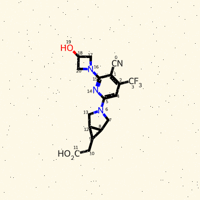 N#Cc1c(C(F)(F)F)cc(N2CC3C(CC(=O)O)C3C2)nc1N1CC(O)C1